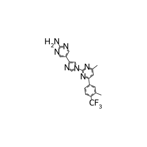 Cc1cc(-c2ccc(C(F)(F)F)c(C)c2)nc(-n2cnc(-c3cnc(N)nc3)c2)n1